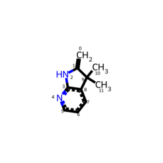 C=C1Nc2ncccc2C1(C)C